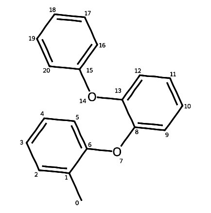 Cc1ccccc1Oc1ccccc1Oc1ccccc1